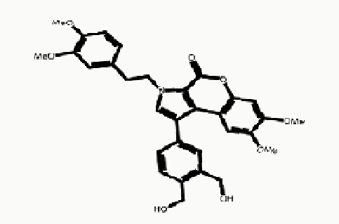 COc1ccc(CCn2cc(-c3ccc(CO)c(CO)c3)c3c4cc(OC)c(OC)cc4oc(=O)c32)cc1OC